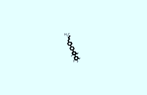 CCCCCC1CCC(C2CCC(c3cc(F)c(C4=CC(F)C(F)C(F)=C4)c(F)c3)CC2)CC1